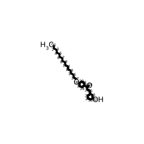 CCCCCCCCCCCCCCCCCCOc1ccc(C(=O)C=Cc2cccc(O)c2)cc1